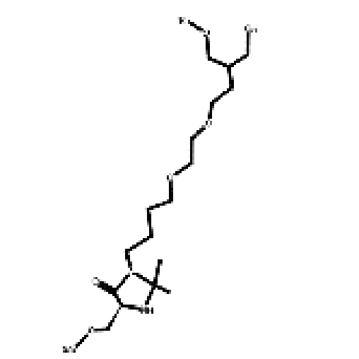 CC(C)(C)OCC(CO)CCOCCOCCCCN1C(=O)[C@H](COC(C)(C)C)NC1(C)C